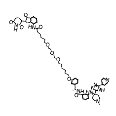 C[C@@H](NC(=O)c1cccc(NC2(c3nnc(-c4ccncc4)[nH]3)CCN(C)CC2)c1)c1cccc(OCCCCCCOCCOCCOCCCCCC(=O)Nc2cccc3c2CC(C2CCC(=O)NC2=O)C3=O)c1